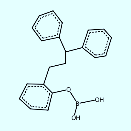 OB(O)Oc1ccccc1CCC(c1ccccc1)c1ccccc1